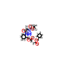 CC(=O)OCc1ccccc1.CC(=O)OCc1ccccc1NC(=O)[C@H](C)NC(=O)OC(C)(C)C